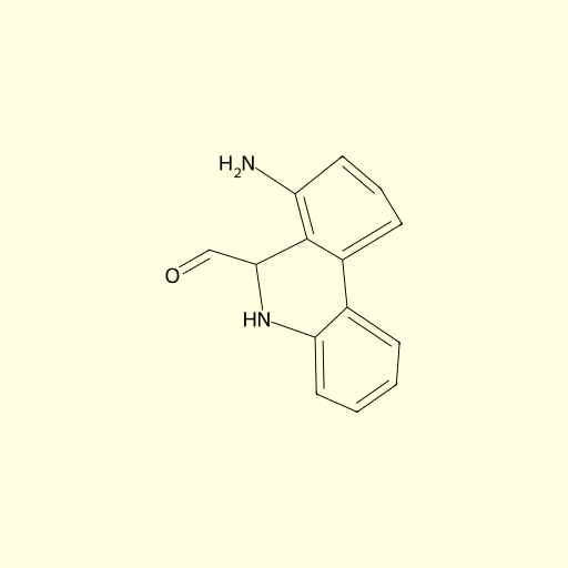 Nc1cccc2c1C(C=O)Nc1ccccc1-2